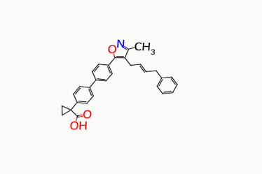 Cc1noc(-c2ccc(-c3ccc(C4(C(=O)O)CC4)cc3)cc2)c1CC=CCc1ccccc1